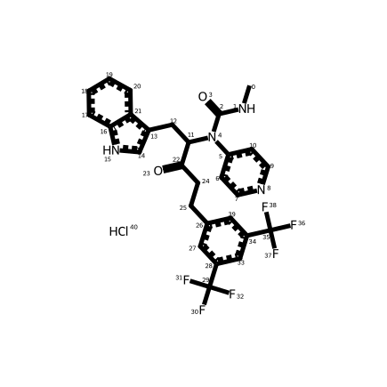 CNC(=O)N(c1ccncc1)C(Cc1c[nH]c2ccccc12)C(=O)CCc1cc(C(F)(F)F)cc(C(F)(F)F)c1.Cl